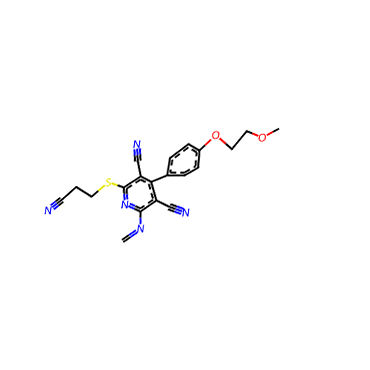 C=Nc1nc(SCCC#N)c(C#N)c(-c2ccc(OCCOC)cc2)c1C#N